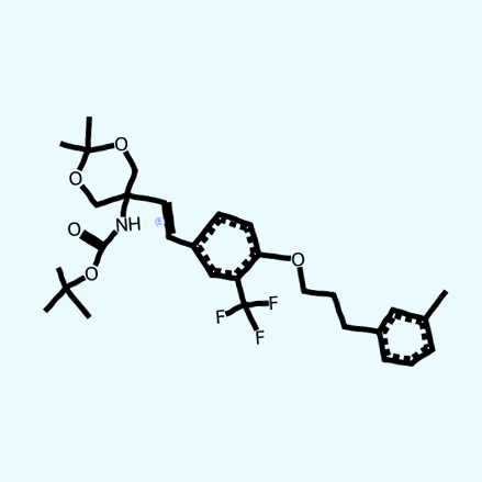 Cc1cccc(CCCOc2ccc(/C=C/C3(NC(=O)OC(C)(C)C)COC(C)(C)OC3)cc2C(F)(F)F)c1